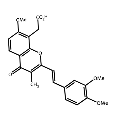 COc1ccc(C=Cc2oc3c(CC(=O)O)c(OC)ccc3c(=O)c2C)cc1OC